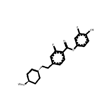 CCCCC[C@H]1CC[C@H](CCc2ccc(C(=O)Oc3ccc(C#N)c(F)c3)c(F)c2)CC1